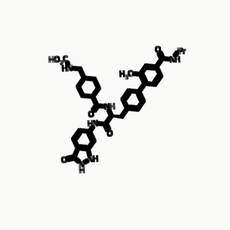 Cc1cc(C(=O)NC(C)C)ccc1-c1ccc(C[C@H](NC(=O)C2CCC(CNC(=O)O)CC2)C(=O)Nc2ccc3c(=O)[nH][nH]c3c2)cc1